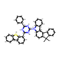 CC1(C)c2ccccc2-c2c1ccc1c2c2ccccc2n1-c1nc(-c2ccccc2)nc(-c2cccc3c2sc2ccccc23)n1